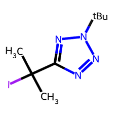 CC(C)(I)c1nnn(C(C)(C)C)n1